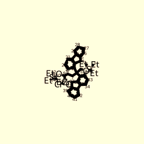 CC[Si](CC)(CC)OCC(CC[CH](O[Si](CC)(CC)CC)[Zr]([Cl])[Cl])(c1cccc2c1Cc1ccccc1-2)c1cccc2c1Cc1ccccc1-2